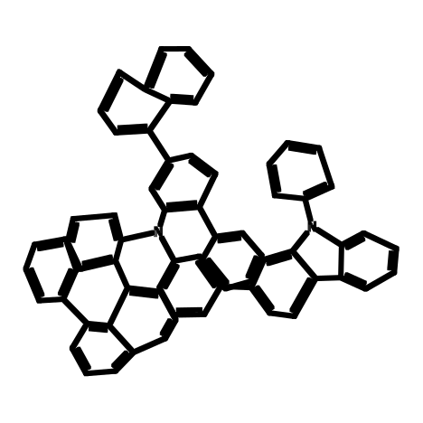 c1ccc(-c2ccc(-c3cccc4ccccc34)cc2N(c2cccc(-c3ccc4c5ccccc5n(-c5ccccc5)c4c3)c2)c2ccccc2-c2cccc3cccc(-c4ccccc4)c23)cc1